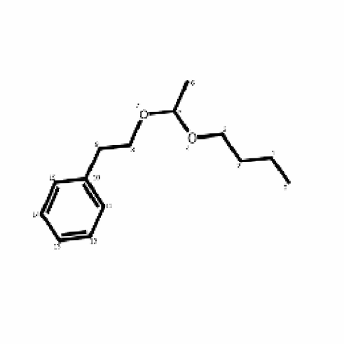 CCCCOC(C)OCCc1ccccc1